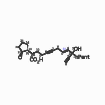 C#C[C@@](O)(/C=C/CC#CCC[C@H](C(=O)O)[C@H]1CCCC1=O)CCCCC